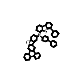 c1ccc(-c2ccc(N(c3ccc4oc5cc6c7ccccc7c7ccccc7c6cc5c4c3)c3cccc4c3sc3c(-c5ccccc5)cccc34)cc2)cc1